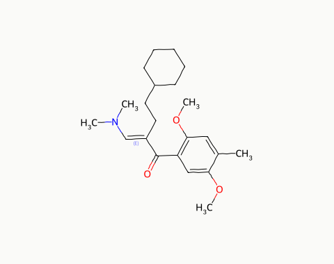 COc1cc(C(=O)/C(=C/N(C)C)CCC2CCCCC2)c(OC)cc1C